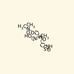 CCN(CC)C(=O)COc1cccc([C@@H](CN2CCC(O)C2)N(C)C(=O)Cc2ccc3sc(=O)[nH]c3c2)c1